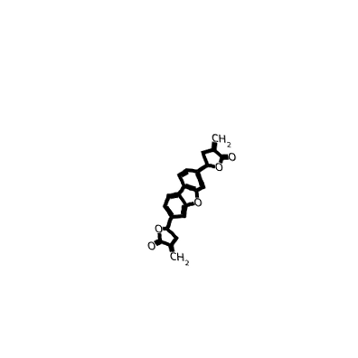 C=C1CC(c2ccc3c(c2)oc2cc(C4CC(=C)C(=O)O4)ccc23)OC1=O